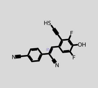 N#C/C(=C\c1cc(F)c(O)c(F)c1C#CS)c1ccc(C#N)cc1